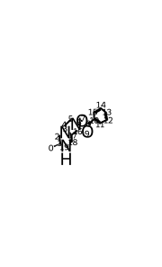 C[C@H]1CN2CCN(OC(=O)c3ccccc3)CC2CN1